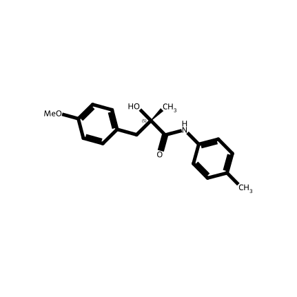 COc1ccc(C[C@](C)(O)C(=O)Nc2ccc(C)cc2)cc1